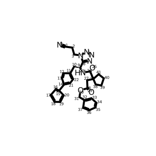 N#CCCn1nnnc1[C@H](Cc1ccc(-c2ccccc2)cc1)NC(=O)C1(CC(=O)OCc2ccccc2)CCCC1